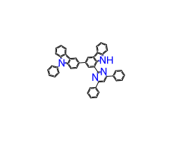 c1ccc(-c2cc(-c3ccccc3)nc(-c3cc(-c4ccc5c(c4)c4ccccc4n5-c4ccccc4)cc4c3[nH]c3ccccc34)n2)cc1